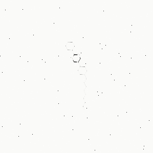 CCCCCCCCCC1CCC(c2cnc(C3CCCCC3)nc2)CC1